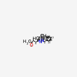 CC(=O)CC/C(C)=N/N(Cc1ccccc1)[Si](C)(C)C